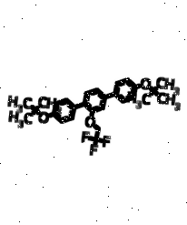 CC(C)(C)Oc1ccc(-c2ccc(-c3ccc(OC(C)(C)C)cc3)c(OCC(F)(F)F)c2)cc1